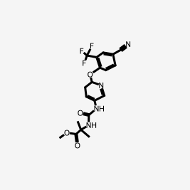 COC(=O)C(C)(C)NC(=O)NC1=CCC(Oc2ccc(C#N)cc2C(F)(F)F)N=C1